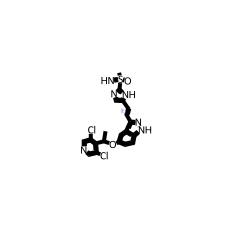 CC(Oc1ccc2[nH]nc(/C=C/c3cnc(S(C)(=N)=O)[nH]3)c2c1)c1c(Cl)cncc1Cl